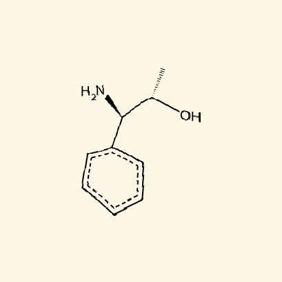 C[C@H](O)[C@H](N)c1ccccc1